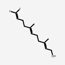 C/C(=C\CC/C(C)=C/CO)CCC=C(F)F